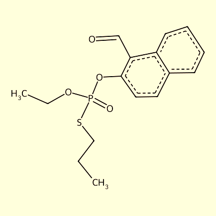 CCCSP(=O)(OCC)Oc1ccc2ccccc2c1C=O